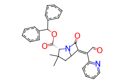 CC1(C)CC2/C(=C(/C=O)c3ccccn3)C(=O)N2[C@H]1C(=O)OC(c1ccccc1)c1ccccc1